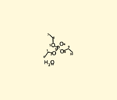 CCOP(=O)(OCC)OCC.O